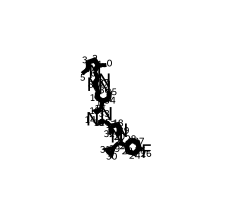 Cc1ccc(C)n1-c1nc2cc(-c3cncc(-c4cnn(C(c5ccc(F)cc5)C5CC5)c4)n3)ccn2n1